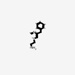 C=N/C(=C\SCCN)Cc1ccccc1